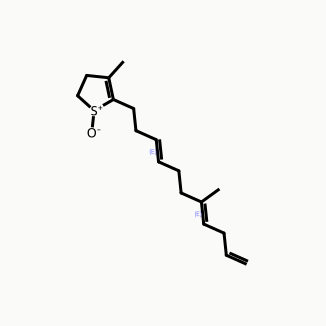 C=CC/C=C(\C)CC/C=C/CCC1=C(C)CC[S+]1[O-]